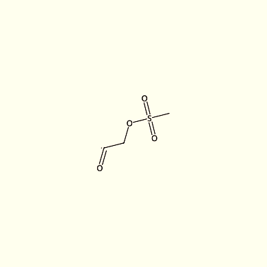 CS(=O)(=O)OC[C]=O